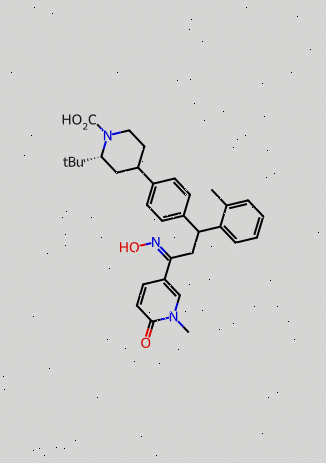 Cc1ccccc1C(CC(=NO)c1ccc(=O)n(C)c1)c1ccc(C2CCN(C(=O)O)[C@@H](C(C)(C)C)C2)cc1